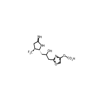 N=C1C[C@H](C(F)(F)F)[C@@H](CC(O)Cc2nc(OC(=O)O)co2)N1